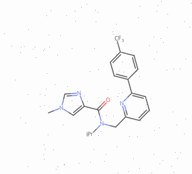 CC(C)N(Cc1cccc(-c2ccc(C(F)(F)F)cc2)n1)C(=O)c1cn(C)cn1